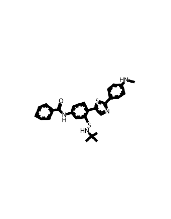 CNc1ccc(-c2ncc(-c3ccc(NC(=O)c4ccccc4)cc3SNC(C)(C)C)s2)cc1